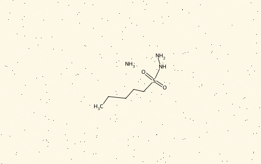 CCCCCS(=O)(=O)NN.N